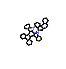 c1ccc(-n2c3ccccc3c3c4c5ccccc5c5ccccc5c4c4c5ccccc5n(-c5ccc6c(ccc7ccccc76)c5)c4c32)cc1